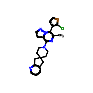 Cc1nc(N2CCC3(CC2)Cc2cccnc2C3)c2ccnn2c1-c1ccsc1Cl